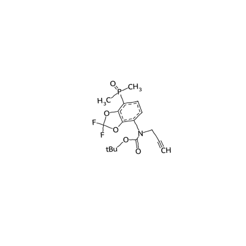 C#CCN(C(=O)OC(C)(C)C)c1ccc(P(C)(C)=O)c2c1OC(F)(F)O2